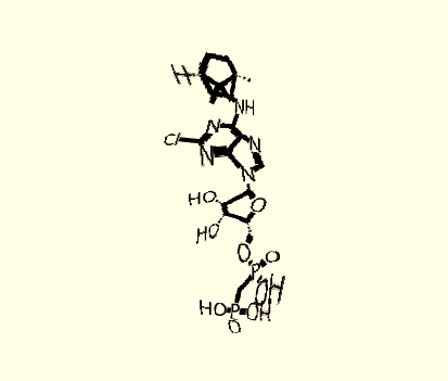 CC1(C)[C@@H]2CC[C@@]1(C)C(Nc1nc(Cl)nc3c1ncn3[C@@H]1O[C@H](COP(=O)(O)CP(=O)(O)O)[C@H](O)[C@@H]1O)C2